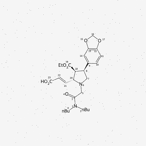 CCCCN(CCCC)C(=O)CN1C[C@H](c2ccc3c(c2)OCO3)[C@H](C(=O)OCC)[C@H]1C=CC(=O)O